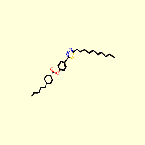 CCCCCCCCCCc1nnc(-c2ccc(OC(=O)[C@H]3CC[C@H](CCCCC)CC3)cc2)s1